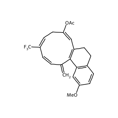 C=C1/C=C\C(C(F)(F)F)=C/C/C(OC(C)=O)=C\C2=C1c1cc(OC)ccc1CC2